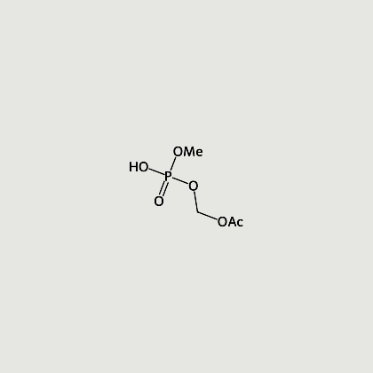 COP(=O)(O)OCOC(C)=O